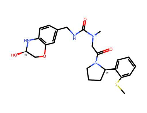 CSc1ccccc1[C@H]1CCCN1C(=O)CN(C)C(=O)NCc1ccc2c(c1)OC[C@@H](O)N2